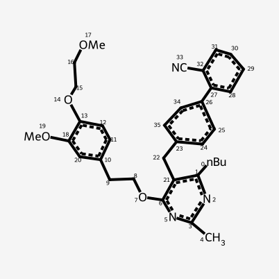 CCCCc1nc(C)nc(OCCc2ccc(OCCOC)c(OC)c2)c1Cc1ccc(-c2ccccc2C#N)cc1